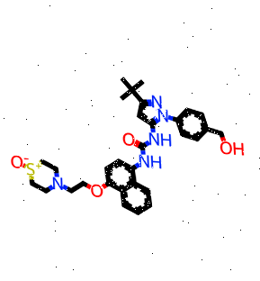 CC(C)(C)c1cc(NC(=O)Nc2ccc(OCCN3CC[S+]([O-])CC3)c3ccccc23)n(-c2ccc(CO)cc2)n1